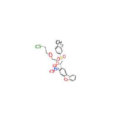 Cc1ccc(S(=O)(=O)CC(OCCOCCCl)c2cc3c(cc2[N+](=O)[O-])oc2ccccc23)cc1